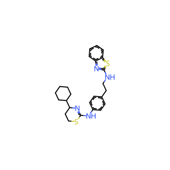 c1ccc2sc(NCCc3ccc(NC4=NC(C5CCCCC5)CCS4)cc3)nc2c1